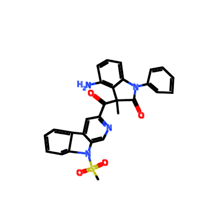 CC1(C(=O)c2cc3c4ccccc4n(S(C)(=O)=O)c3cn2)C(=O)N(c2ccccc2)c2cccc(N)c21